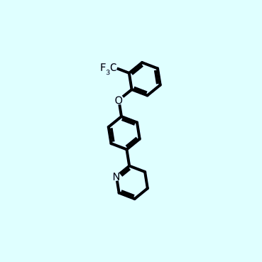 FC(F)(F)c1ccccc1Oc1ccc(C2=NC=CCC2)cc1